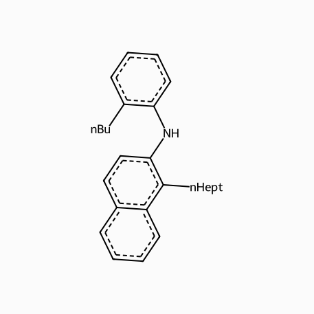 CCCCCCCc1c(Nc2ccccc2CCCC)ccc2ccccc12